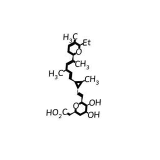 CC[C@H]1O[C@@H](/C(C)=C/[C@H](C)/C=C/[C@H]2[C@@H](C)[C@@H]2/C=C/[C@@H]2O[C@H](CC(=O)O)C[C@H](O)[C@H]2O)CC=C1C